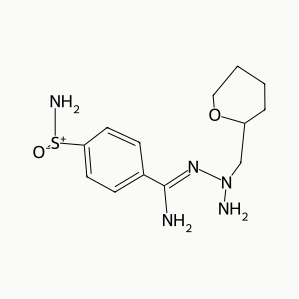 N/C(=N\N(N)CC1CCCCO1)c1ccc([S+](N)[O-])cc1